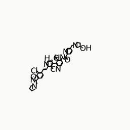 Cc1c(NC(=O)c2ccc(CN3CC[C@@H](O)C3)cn2)cccc1-c1ccnc(/C=C/c2ccc3c(CN4CCCC4)noc3c2Cl)c1C#N